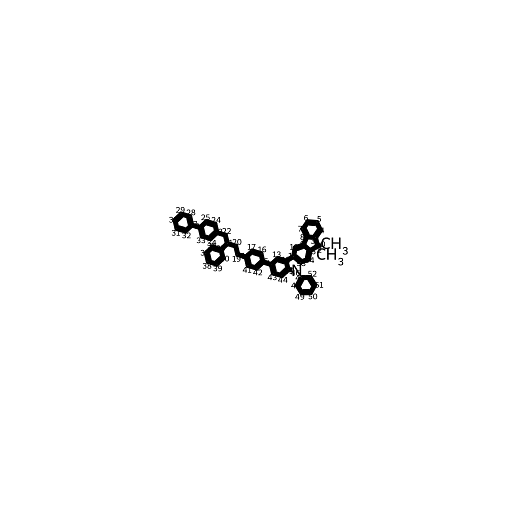 CC1(C)c2ccccc2-c2cc3c4cc(-c5ccc(CCC(Cc6ccc(-c7ccccc7)cc6)c6ccccc6)cc5)ccc4n(-c4ccccc4)c3cc21